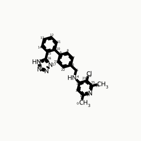 Cc1cc(NCc2ccc(-c3ccccc3-c3nnn[nH]3)cc2)c(Cl)c(C)n1